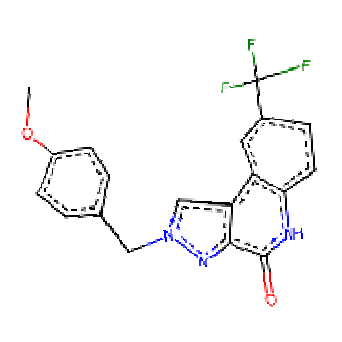 COc1ccc(Cn2cc3c(n2)c(=O)[nH]c2ccc(C(F)(F)F)cc23)cc1